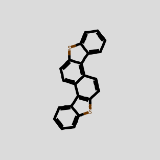 c1ccc2c(c1)sc1ccc3c(ccc4sc5ccccc5c43)c12